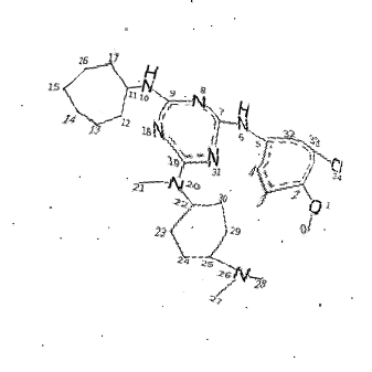 COc1ccc(Nc2nc(NC3CCCCCC3)nc(N(C)C3CCC(N(C)C)CC3)n2)cc1Cl